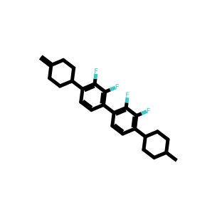 C=C1CCC(c2ccc(-c3ccc(C4CCC(C)CC4)c(F)c3F)c(F)c2F)CC1